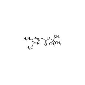 Cc1nn(CC(=O)OC(C)(C)C)cc1N